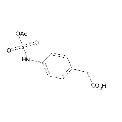 CC(=O)OS(=O)(=O)Nc1ccc(CC(=O)O)cc1